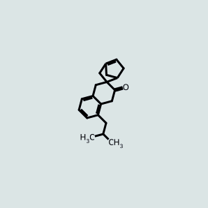 CC(C)Cc1cccc2c1CC(=O)C1(CC3=CCC1C3)C2